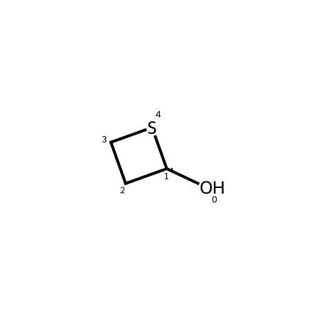 O[C]1CCS1